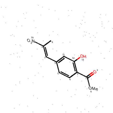 COC(=O)c1ccc(C=C(C)[N+](=O)[O-])cc1O